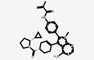 C=C(C)C(=O)Nc1ccc(-c2c(C3=CC[C@@H](C(=O)N4CCC[C@@H]4C4CC4)CC3)c3c(N)ncnc3n2C)cc1